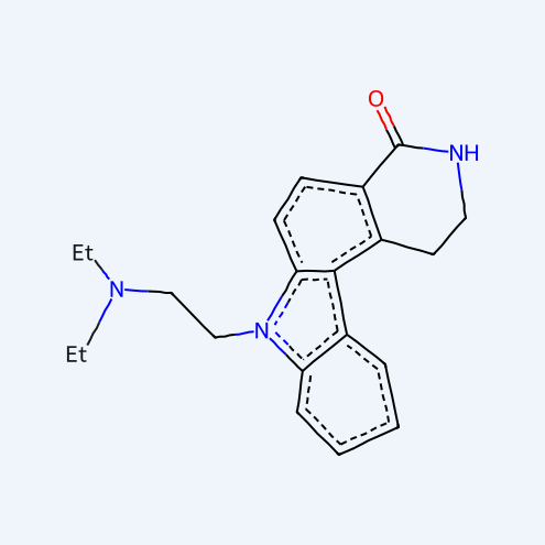 CCN(CC)CCn1c2ccccc2c2c3c(ccc21)C(=O)NCC3